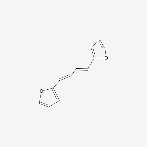 C(C=Cc1ccco1)=Cc1ccco1